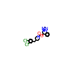 O=C(OC(Cn1ncnn1)c1ccccc1)N1CCC(Cc2ccc(Cl)c(Cl)c2)CC1